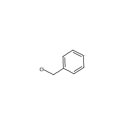 ClCc1cc[c]cc1